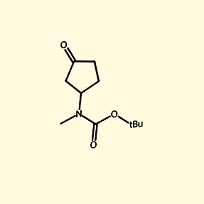 CN(C(=O)OC(C)(C)C)C1CCC(=O)C1